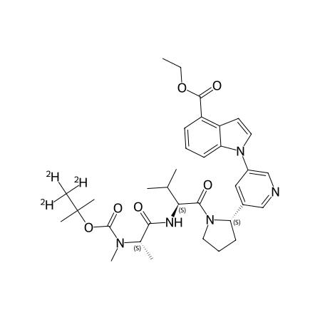 [2H]C([2H])([2H])C(C)(C)OC(=O)N(C)[C@@H](C)C(=O)N[C@H](C(=O)N1CCC[C@H]1c1cncc(-n2ccc3c(C(=O)OCC)cccc32)c1)C(C)C